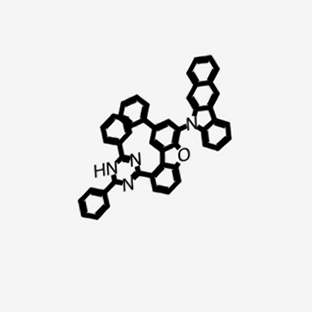 c1ccc(C2=NC(c3cccc4oc5c(-n6c7ccccc7c7cc8ccccc8cc76)cc(-c6ccccc6)cc5c34)=NC(c3ccccc3)N2)cc1